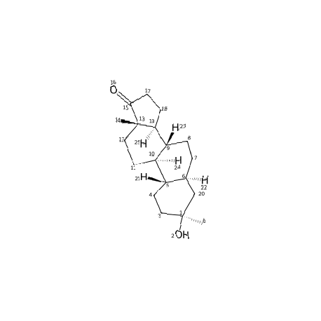 C[C@]1(O)CC[C@H]2[C@@H](CC[C@@H]3[C@@H]2CC[C@]2(C)C(=O)CC[C@@H]32)C1